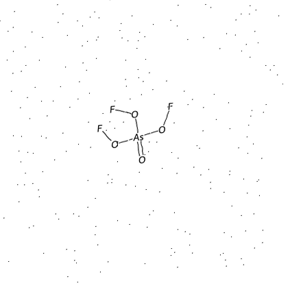 O=[As](OF)(OF)OF